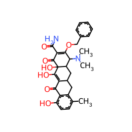 Cc1ccc(O)c2c1CC1CC3C(N(C)C)C(OCc4ccccc4)=C(C(N)=O)C(=O)C3(O)C(O)=C1C2=O